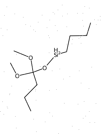 CCCC[SiH2]OC(CCC)(OC)OC